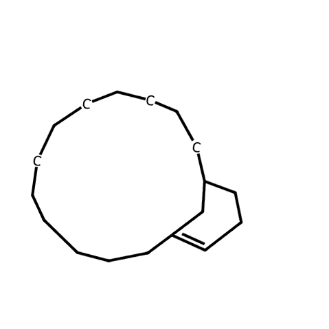 C1=C2CCCCCCCCCCCCC(CC1)C2